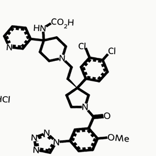 COc1ccc(-n2cnnn2)cc1C(=O)N1CC[C@](CCN2CCC(NC(=O)O)(c3cccnc3)CC2)(c2ccc(Cl)c(Cl)c2)C1.Cl